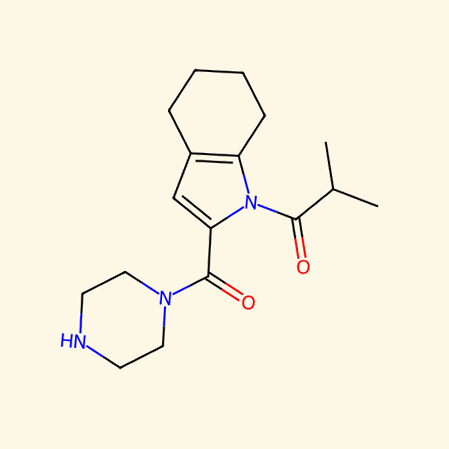 CC(C)C(=O)n1c(C(=O)N2CCNCC2)cc2c1CCCC2